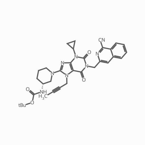 CC#CCn1c(N2CCC[C@@H](NC(=O)OC(C)(C)C)C2)nc2c1c(=O)n(Cc1cc3ccccc3c(C#N)n1)c(=O)n2C1CC1